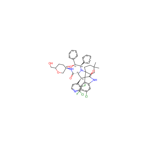 CC1(C)CCC2(CC1)N([C@H](c1ccccc1)[C@@H](O)c1ccccc1)[C@@H](C(=O)N[C@@H]1CCC(CO)OC1)[C@H](c1ccnc(Cl)c1F)C21C(=O)Nc2cc(Cl)c(F)cc21